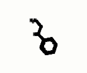 [AlH2][O][AlH][c]1ccccc1